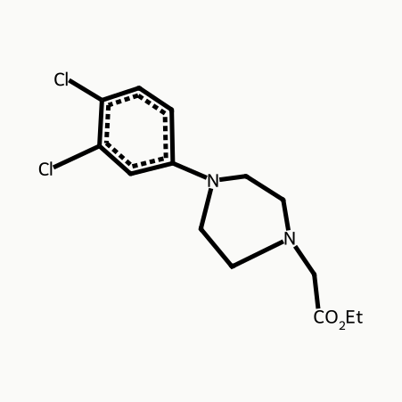 CCOC(=O)CN1CCN(c2ccc(Cl)c(Cl)c2)CC1